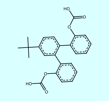 CC(C)(C)c1ccc(-c2ccccc2OC(=O)O)c(-c2ccccc2OC(=O)O)c1